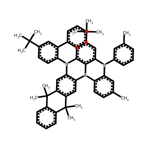 Cc1cccc(N2c3cc(C)ccc3B3c4cc5c(cc4N(c4ccc(C(C)(C)C)cc4-c4ccccc4)c4cc(C(C)(C)C)cc2c43)C(C)(C)c2ccccc2C5(C)C)c1